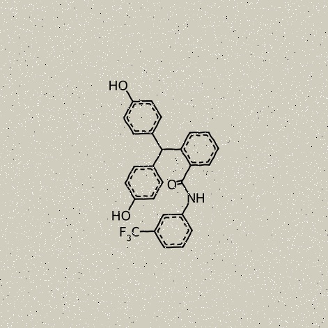 O=C(Nc1cccc(C(F)(F)F)c1)c1ccccc1C(c1ccc(O)cc1)c1ccc(O)cc1